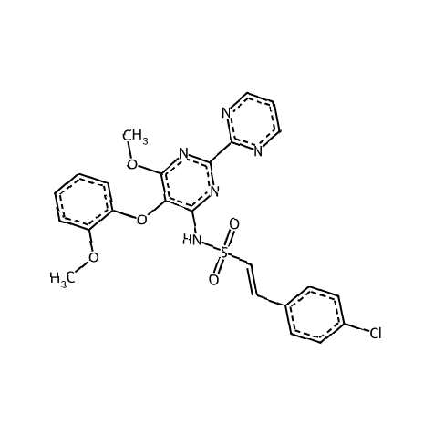 COc1ccccc1Oc1c(NS(=O)(=O)/C=C/c2ccc(Cl)cc2)nc(-c2ncccn2)nc1OC